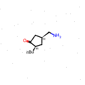 CCCC[C@@H]1C[C@H](CN)CC1=O